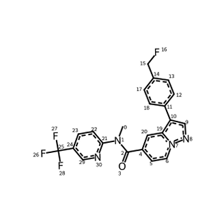 CN(C(=O)c1ccn2ncc(-c3ccc(CF)cc3)c2c1)c1ccc(C(F)(F)F)cn1